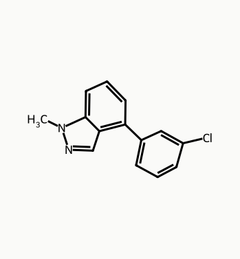 Cn1ncc2c(-c3cccc(Cl)c3)cccc21